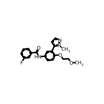 COCCOc1ccc(NC(=O)c2cccc(F)c2)cc1-c1ccnn1C